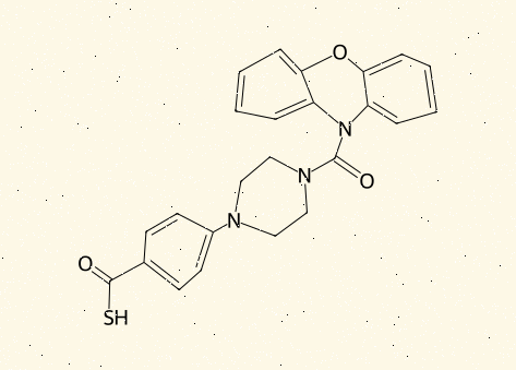 O=C(S)c1ccc(N2CCN(C(=O)N3c4ccccc4Oc4ccccc43)CC2)cc1